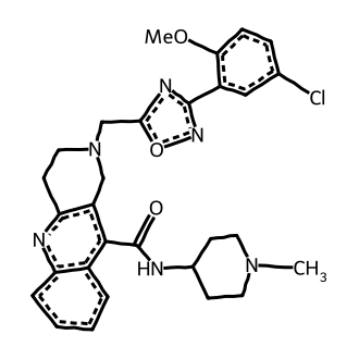 COc1ccc(Cl)cc1-c1noc(CN2CCc3nc4ccccc4c(C(=O)NC4CCN(C)CC4)c3C2)n1